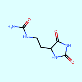 NC(=O)NCCC1NC(=O)NC1=O